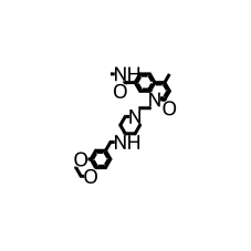 CNC(=O)c1ccc2c(C)cc(=O)n(CCN3CCC(NCc4ccc5c(c4)OCCO5)CC3)c2c1